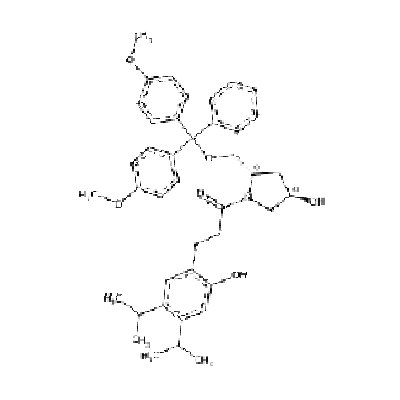 COc1ccc(C(OC[C@@H]2C[C@@H](O)CN2C(=O)CCc2cc(C(C)C)c(C(C)C)cc2O)(c2ccccc2)c2ccc(OC)cc2)cc1